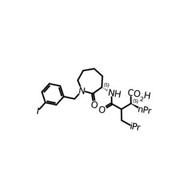 CCC[C@H](C(=O)O)C(CC(C)C)C(=O)N[C@H]1CCCCN(Cc2cccc(I)c2)C1=O